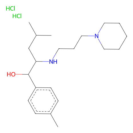 Cc1ccc(C(O)C(CC(C)C)NCCCN2CCCCC2)cc1.Cl.Cl